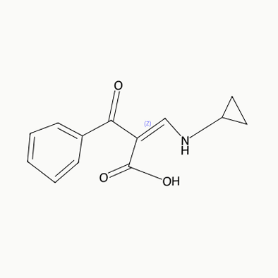 O=C(O)/C(=C\NC1CC1)C(=O)c1ccccc1